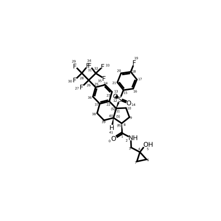 O=C(NCC1(O)CC1)[C@@H]1CC[C@@]2(S(=O)(=O)c3ccc(F)cc3)c3ccc(C(F)(C(F)(F)F)C(F)(F)F)cc3CC[C@@H]12